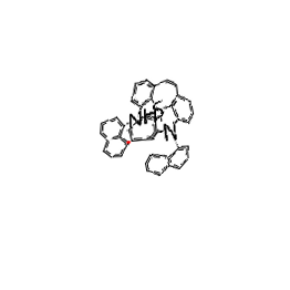 CS1(C)c2c(cccc2Nc2cccc3ccccc23)C=Cc2cccc(N(c3ccccc3)c3cccc4ccccc34)c21